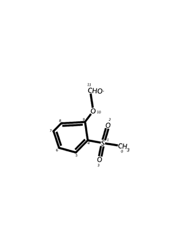 CS(=O)(=O)c1ccccc1O[C]=O